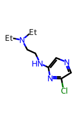 CCN(CC)CCNc1cncc(Cl)n1